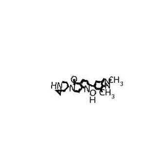 Cc1c(O)c(-c2ccc3c(=O)n([C@H]4CCNC5(CC5)C4)ccc3n2)cc2cn(C)nc12